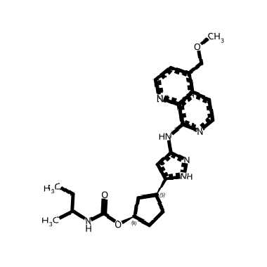 CCC(C)NC(=O)O[C@@H]1CC[C@H](c2cc(Nc3nccc4c(COC)ccnc34)n[nH]2)C1